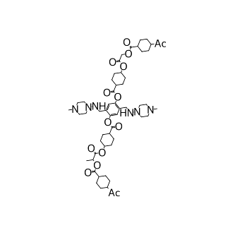 CC(=O)C1CCC(C(=O)OCC(=O)OC2CCC(C(=O)Oc3cc(CNN4CCN(C)CC4)c(OC(=O)C4CCC(OC(=O)C(C)OC(=O)C5CCC(C(C)=O)CC5)CC4)cc3CNN3CCN(C)CC3)CC2)CC1